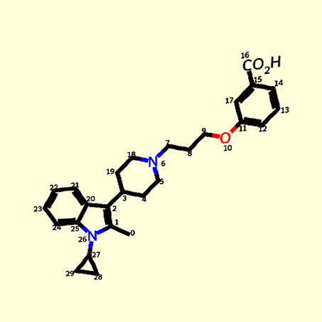 Cc1c(C2CCN(CCCOc3cccc(C(=O)O)c3)CC2)c2ccccc2n1C1CC1